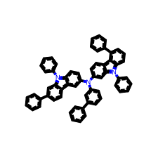 c1ccc(-c2cccc(N(c3ccc4c(c3)c3ccc(-c5ccccc5)cc3n4-c3ccccc3)c3ccc4c5c(-c6ccccc6)cccc5n(-c5ccccc5)c4c3)c2)cc1